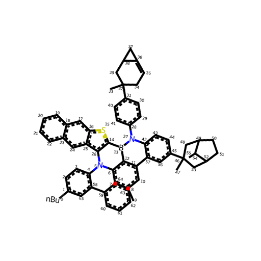 CCCCc1ccc(N2c3cc(C)cc4c3B(c3sc5cc6ccccc6cc5c32)N(c2ccc(C3(C)CC=C5CC5C3)cc2)c2ccc(C3(C)CC5CCC(C3)C5C)cc2-4)c(-c2ccccc2)c1